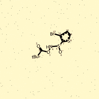 CC(C)(C)C(=O)ON[S+]([O-])c1sccc1Br